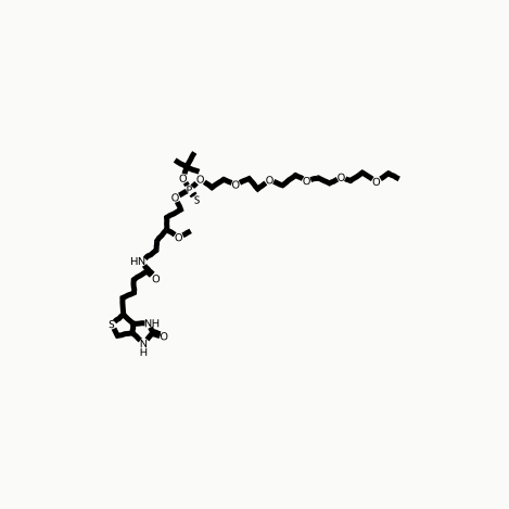 CCOCCOCCOCCOCCOCCOP(=S)(OCCC(CCNC(=O)CCCC1SCC2NC(=O)NC21)OC)OC(C)(C)C